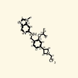 Cn1cnc2cnc(NCc3ccc(C4CN(CC(F)(F)F)C4)cc3OC(F)F)cc21